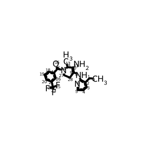 CCc1cccnc1NC1=C(N)C(C)N(C(=O)c2cccc(C(F)(F)F)c2)CC1